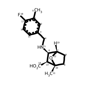 Cc1cc(CN[C@H]2[C@@H]3CC[C@@](C)(O3)[C@H]2C(=O)O)ccc1F